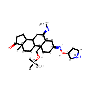 CON=C1CC2C3CCC(=O)C3(C)CCC2C2(CO[Si](C)(C)C(C)(C)C)CCC(=NO[C@H]3CCNC3)CC12